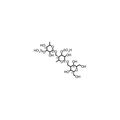 CC1O[C@@H](OC[C@@H]2C(C)O[C@@H](OCC3C(O)[C@H](CO)OC(CO)[C@@H]3O)C(O)C2OS(=O)(=O)O)C(O)C(OS(=O)(=O)O)[C@@H]1O